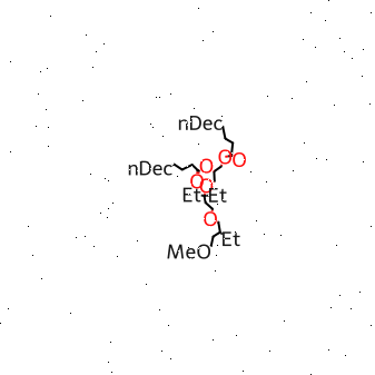 CCCCCCCCCCCCCC(=O)OCC(COC(CC)(CC)CCOCC(CC)CCOC)OC(=O)CCCCCCCCCCCCC